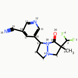 CC1(C(F)F)CN2CCC(c3cncc(C#N)c3)N2C1=O